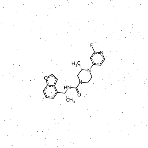 C[C@@H](NC(=O)N1CCN(c2ccnc(F)c2)[C@@H](C)C1)c1cccc2occc12